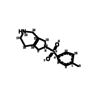 Cc1ccc(S(=O)(=O)N2CC3=C(CNCC3)C2)cc1